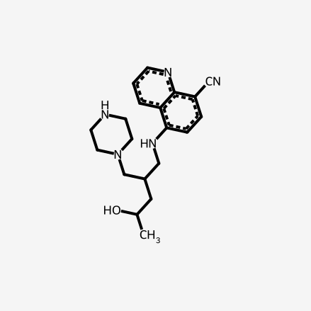 CC(O)CC(CNc1ccc(C#N)c2ncccc12)CN1CCNCC1